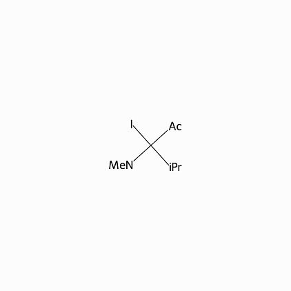 CNC(I)(C(C)=O)C(C)C